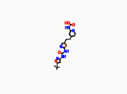 CC(C)(C)c1cc(NC(=O)Nc2ncc(CCc3ccnc(NC(=O)O)c3)s2)no1